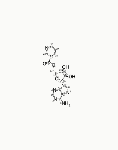 Nc1ncnc2c1ncn2[C@@H]1O[C@H](COC(=O)c2cccnc2)[C@@H](O)[C@H]1O